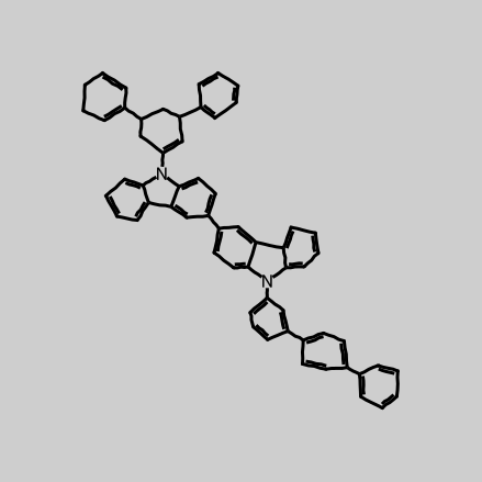 C1=CC(C2CC(n3c4ccccc4c4cc(-c5ccc6c(c5)c5ccccc5n6-c5cccc(-c6ccc(-c7ccccc7)cc6)c5)ccc43)=CC(c3ccccc3)C2)=CCC1